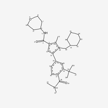 Cc1c(C(=O)NC2CCOCC2)cc(-c2ccc(C(=O)N(C)C)c(C(C)(C)C)c2)n1CC1CCCCC1